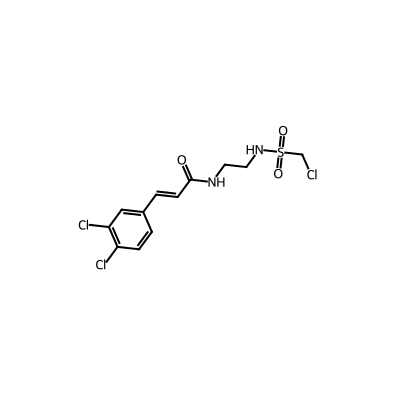 O=C(/C=C/c1ccc(Cl)c(Cl)c1)NCCNS(=O)(=O)CCl